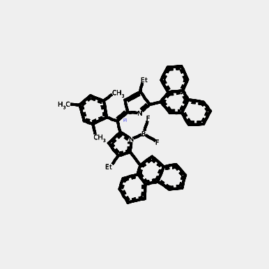 CCC1=C/C(=C(\c2c(C)cc(C)cc2C)c2cc(CC)c(-c3cc4ccccc4c4ccccc34)n2B(F)F)N=C1c1cc2ccccc2c2ccccc12